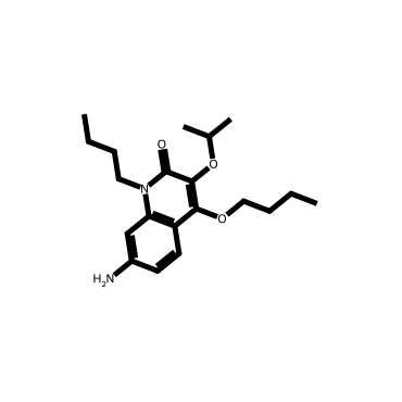 CCCCOc1c(OC(C)C)c(=O)n(CCCC)c2cc(N)ccc12